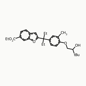 CCOC(=O)c1ccc2cc(C(CC)(CC)c3ccc(OCC(O)C(C)(C)C)c(C)c3)oc2c1